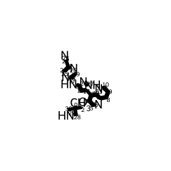 CC1(COc2cnc3cccnc3c2-c2cc(Nc3cnc(C#N)cn3)n[nH]2)CNC1